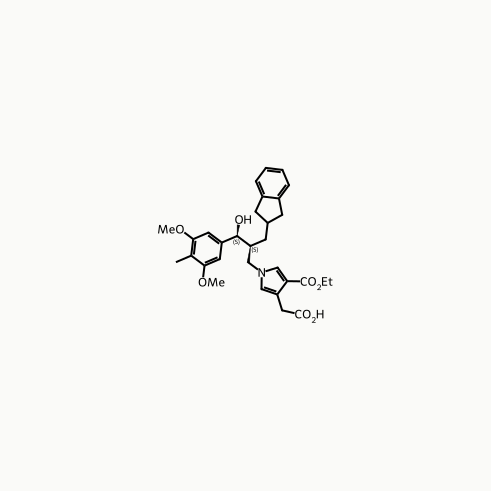 CCOC(=O)c1cn(C[C@H](CC2Cc3ccccc3C2)[C@H](O)c2cc(OC)c(C)c(OC)c2)cc1CC(=O)O